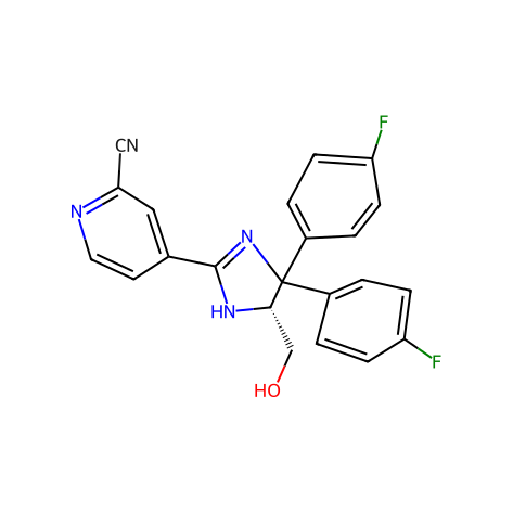 N#Cc1cc(C2=NC(c3ccc(F)cc3)(c3ccc(F)cc3)[C@H](CO)N2)ccn1